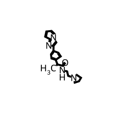 CC(C(=O)NCCN1CCCC1)c1ccc(-c2cn3ccccc3n2)cc1